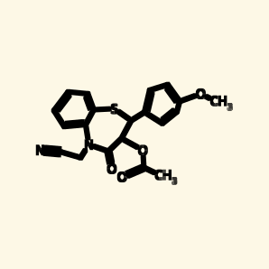 COc1ccc(C2Sc3ccccc3N(CC#N)C(=O)C2OC(C)=O)cc1